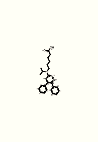 CC(C)N(CCCCCC(=O)O)c1nnc(-c2ccccc2)c(-c2ccccc2)n1